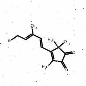 CC(C=CC1=C(C)C(=O)C(=O)C1(C)C)=CCBr